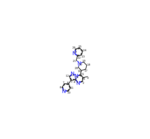 Cc1cnc2c(-c3ccncc3)cnn2c1C1CCCN(Cc2ccccn2)C1